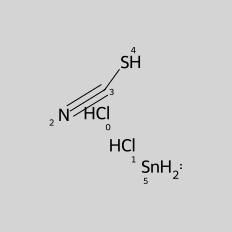 Cl.Cl.N#CS.[SnH2]